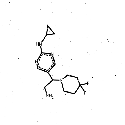 NCC(c1cnc(NC2CC2)nc1)N1CCC(F)(F)CC1